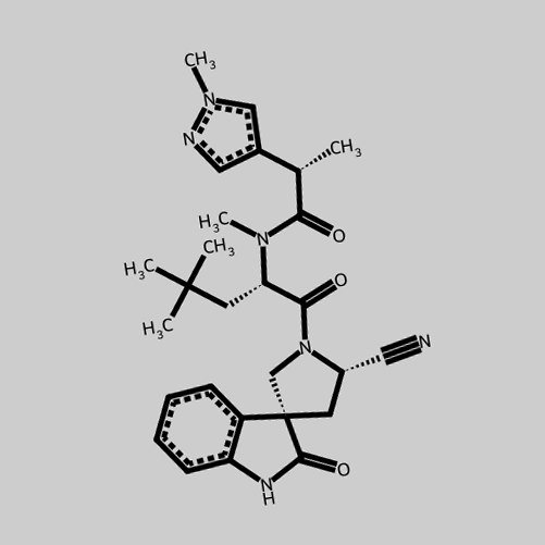 C[C@H](C(=O)N(C)[C@@H](CC(C)(C)C)C(=O)N1C[C@]2(C[C@H]1C#N)C(=O)Nc1ccccc12)c1cnn(C)c1